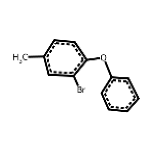 Cc1ccc(Oc2ccccc2)c(Br)c1